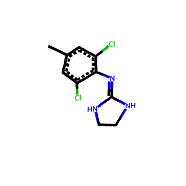 Cc1cc(Cl)c(N=C2NCCN2)c(Cl)c1